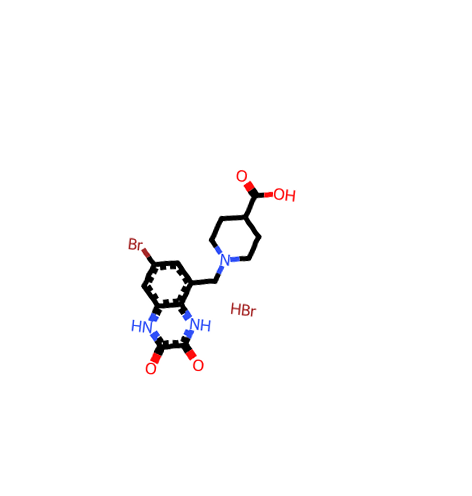 Br.O=C(O)C1CCN(Cc2cc(Br)cc3[nH]c(=O)c(=O)[nH]c23)CC1